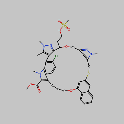 COC(=O)c1c2c3ccc(Cl)c(c3n1C)-c1c(nn(C)c1C)C(CCOS(C)(=O)=O)OCc1cc(n(C)n1)CSc1cc(c3ccccc3c1)OCCC2